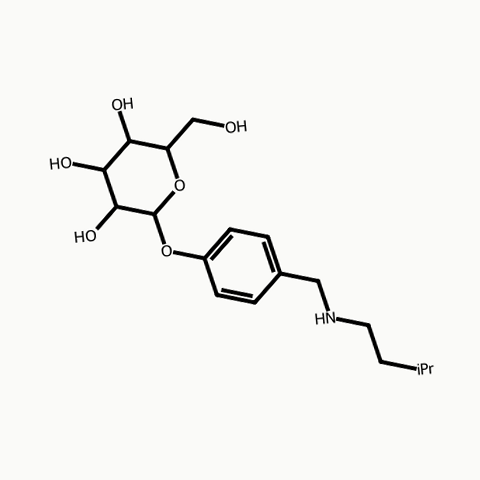 CC(C)CCNCc1ccc(OC2OC(CO)C(O)C(O)C2O)cc1